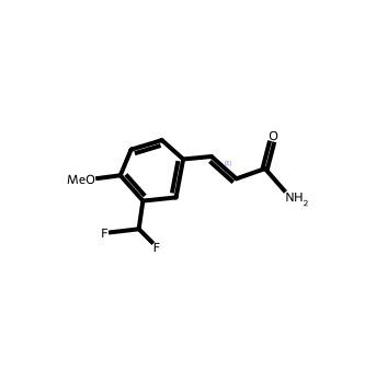 COc1ccc(/C=C/C(N)=O)cc1C(F)F